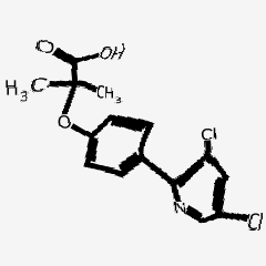 CC(C)(Oc1ccc(-c2ncc(Cl)cc2Cl)cc1)C(=O)O